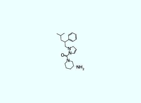 CC(C)CC(CN1CC=CN1C(=O)N1CCC[C@@H](N)C1)c1ccccc1